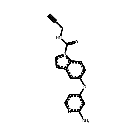 C#CCNC(=O)n1ccc2cc(Oc3ccnc(N)c3)ccc21